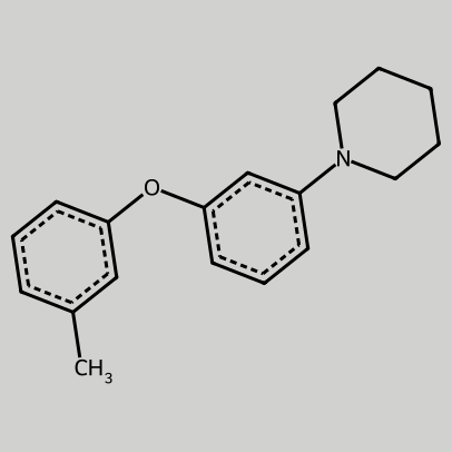 Cc1cccc(Oc2cccc(N3CCCCC3)c2)c1